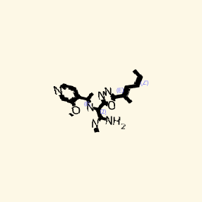 C=N/C(N)=C(\N=C(/C)c1ccncc1OC)c1nnc(/C(C)=C/C=C\C)o1